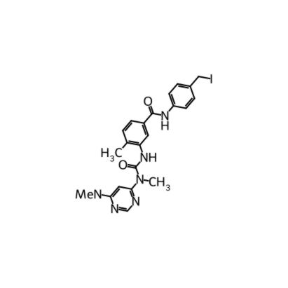 CNc1cc(N(C)C(=O)Nc2cc(C(=O)Nc3ccc(CI)cc3)ccc2C)ncn1